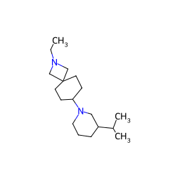 CCN1CC2(CCC(N3CCCC(C(C)C)C3)CC2)C1